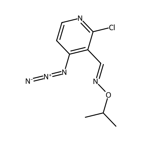 CC(C)O/N=C/c1c(N=[N+]=[N-])ccnc1Cl